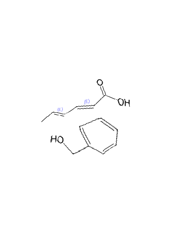 C/C=C/C=C/C(=O)O.OCc1ccccc1